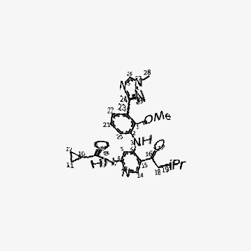 COc1c(Nc2cc(NC(=O)C3CC3)ncc2C(=O)CC(C)C)cccc1-c1ncn(C)n1